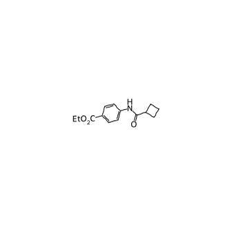 CCOC(=O)c1ccc(NC(=O)C2CCC2)cc1